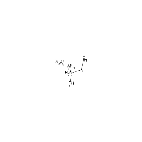 CC(C)C[SiH2]O.[AlH3].[AlH3]